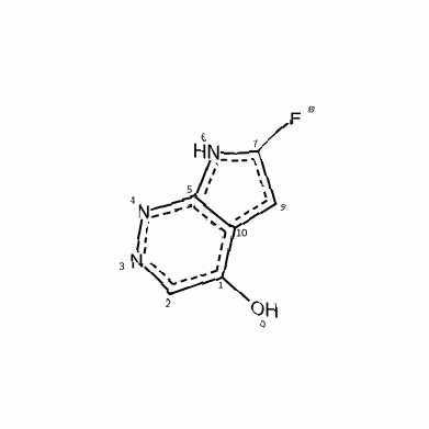 Oc1cnnc2[nH]c(F)cc12